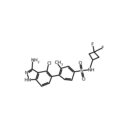 Cc1cc(S(=O)(=O)NC2CC(F)(F)C2)ccc1-c1ccc2[nH]nc(N)c2c1Cl